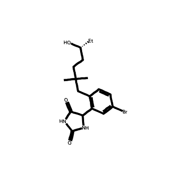 CC[C@@H](O)CCC(C)(C)Cc1ccc(Br)cc1C1NC(=O)NC1=O